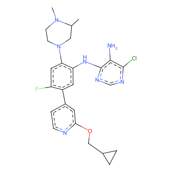 CC1CN(c2cc(F)c(-c3ccnc(OCC4CC4)c3)cc2Nc2ncnc(Cl)c2N)CCN1C